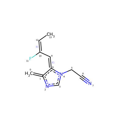 C=c1ncn(CC#N)/c1=C/C(F)=C\C